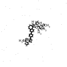 COC(=O)N[C@H](C(=O)N1CCC[C@H]1c1nc2c([nH]1)CCCc1cc(-c3ccc(-c4cnc([C@@H]5CCCN5C(C)=O)[nH]4)cc3)ccc1-2)C(C)C